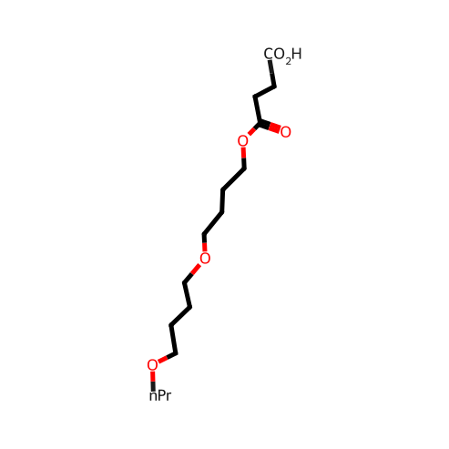 CCCOCCCCOCCCCOC(=O)CCC(=O)O